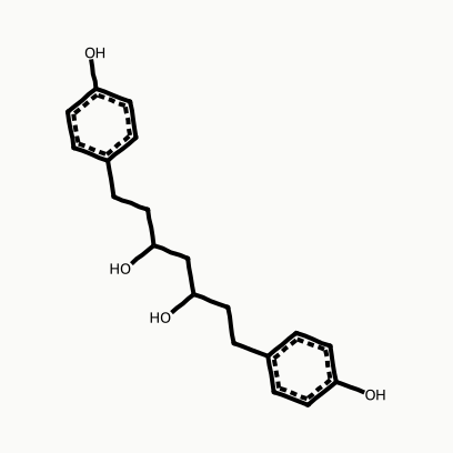 Oc1ccc(CCC(O)CC(O)CCc2ccc(O)cc2)cc1